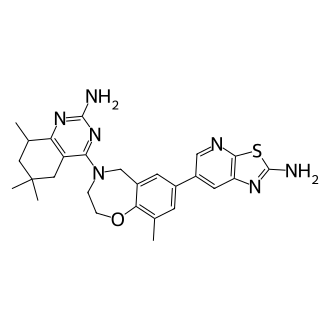 Cc1cc(-c2cnc3sc(N)nc3c2)cc2c1OCCN(c1nc(N)nc3c1CC(C)(C)CC3C)C2